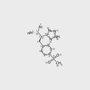 CCC[C@H](C(C)=O)[C@H](Cc1ccc(S(C)(=O)=O)cc1)c1nn[nH]n1